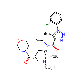 CCCCc1c(C(=O)N(CC(C)C)[C@H]2C[C@@H](C(=O)N3CCOCC3)CN(C(=O)O)C2C(C)(C)C)nnn1-c1ccccc1F